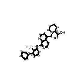 Cc1c(Nc2nccc3c(CN4CCCCC4C(O)O)ccnc23)cccc1-c1ccccc1